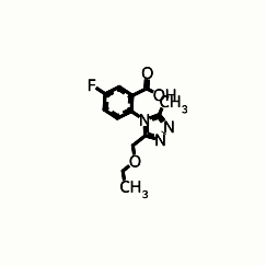 CCOCc1nnc(C)n1-c1ccc(F)cc1C(=O)O